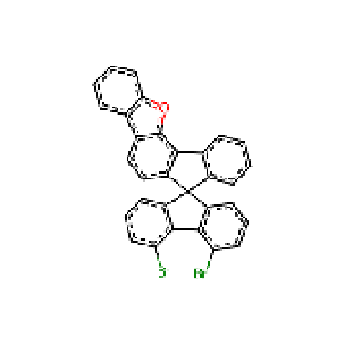 Brc1cccc2c1-c1c(Br)cccc1C21c2ccccc2-c2c1ccc1c2oc2ccccc21